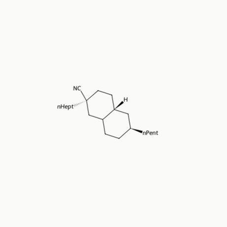 CCCCCCC[C@]1(C#N)CC[C@@H]2C[C@@H](CCCCC)CCC2C1